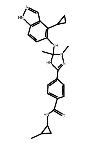 CC1CC1NC(=O)c1ccc(C2=NN(C)C(C)(Nc3ccc4[nH]ncc4c3C3CC3)N2)cc1